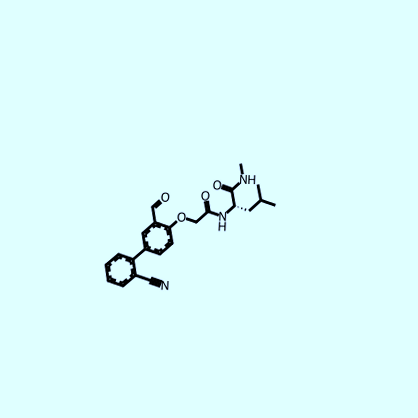 CNC(=O)[C@H](CC(C)C)NC(=O)COc1ccc(-c2ccccc2C#N)cc1C=O